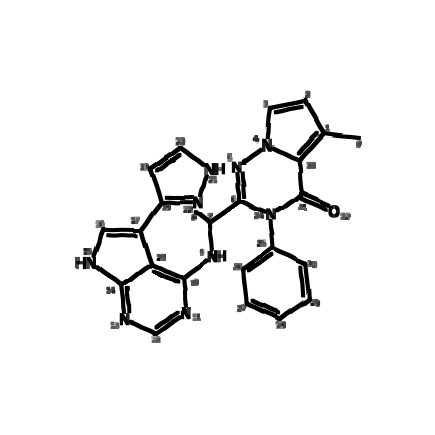 Cc1ccn2nc(C(C)Nc3ncnc4[nH]cc(-c5cc[nH]n5)c34)n(-c3ccccc3)c(=O)c12